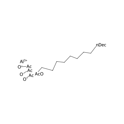 CC(=O)[O-].CC(=O)[O-].CC(=O)[O-].CCCCCCCCCCCCCCCCCCOC(C)=O.[Al+3]